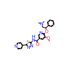 COc1cc(C(=O)Nc2nnc(-c3ccncc3)s2)cnc1OC(CN(C)C)c1ccccc1